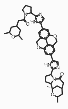 CC1CC(CC(=O)N2CCCC2c2ncc(-c3cc4c5c(c3)OCc3cc(-c6cnc(C7CCC8N7C(=O)CC7CC(C)O[C@]8(C)C7)[nH]6)cc(c3-5)OC4)[nH]2)CC(C)O1